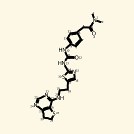 CN(C)C(=O)Cc1ccc(NC(=O)Nc2ncc(CCNc3ncnc4c3SCC4)s2)cc1